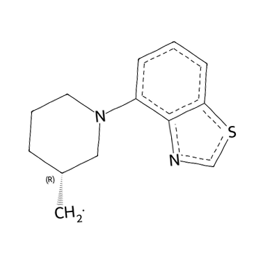 [CH2][C@@H]1CCCN(c2cccc3scnc23)C1